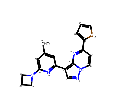 O=Cc1cc(-c2cnn3ccc(-c4cccs4)nc23)nc(N2CCC2)c1